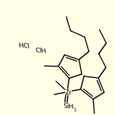 CCCCC1=CC(C)=[C]([Zr]([CH3])([CH3])(=[SiH2])[C]2=C(C)C=C(CCCC)C2)C1.Cl.Cl